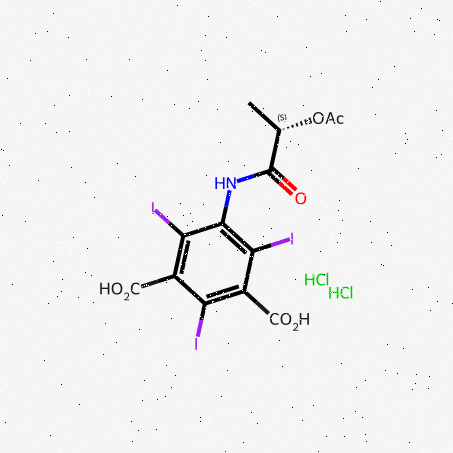 CC(=O)O[C@@H](C)C(=O)Nc1c(I)c(C(=O)O)c(I)c(C(=O)O)c1I.Cl.Cl